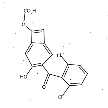 O=C(O)OC1=Cc2cc(C(=O)c3c(Cl)cccc3Cl)c(O)cc21